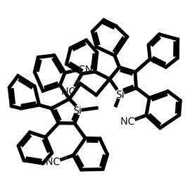 C[Si]1=C(c2ccccc2C#N)C(c2ccccc2)=C(c2ccccc2)C1(CCC1(c2ccccc2C#N)C(c2ccccc2)=C(c2ccccc2)C(c2ccccc2C#N)=[Si]1C)c1ccccc1C#N